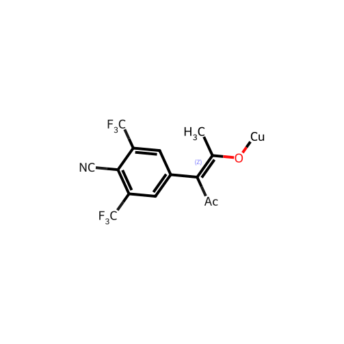 CC(=O)/C(=C(/C)[O][Cu])c1cc(C(F)(F)F)c(C#N)c(C(F)(F)F)c1